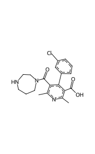 Cc1nc(C)c(C(=O)N2CCCNCC2)c(-c2cccc(Cl)c2)c1C(=O)O